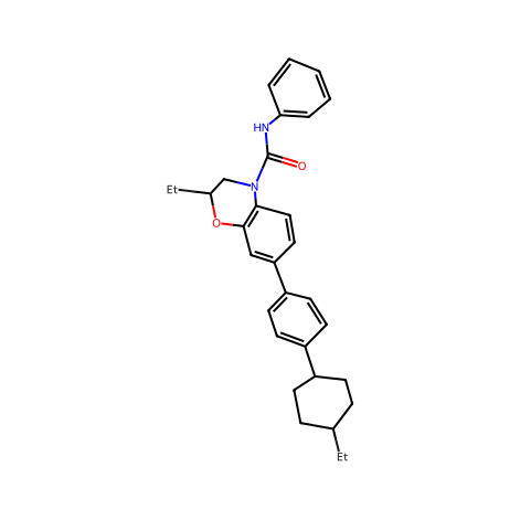 CCC1CCC(c2ccc(-c3ccc4c(c3)OC(CC)CN4C(=O)Nc3ccccc3)cc2)CC1